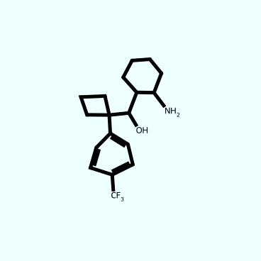 NC1CCCCC1C(O)C1(c2ccc(C(F)(F)F)cc2)CCC1